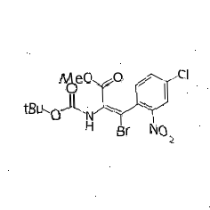 COC(=O)/C(NC(=O)OC(C)(C)C)=C(/Br)c1ccc(Cl)cc1[N+](=O)[O-]